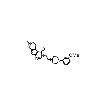 COc1cccc(N2CCN(CCn3cnc4sc5c(c4c3=O)CCN(C)C5)CC2)c1